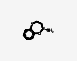 N[C@H]1CCSc2ccccc2O1